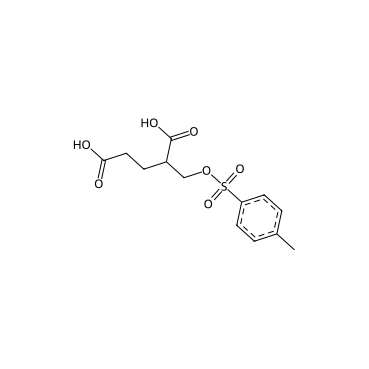 Cc1ccc(S(=O)(=O)OCC(CCC(=O)O)C(=O)O)cc1